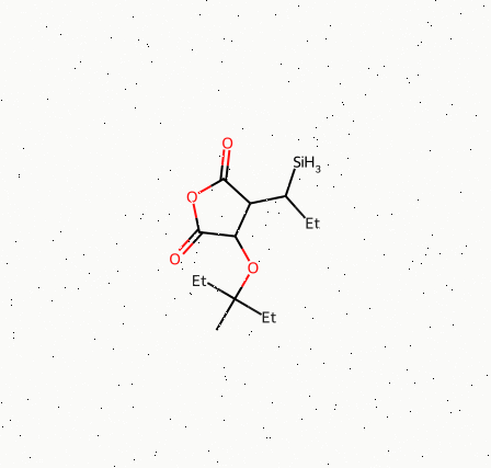 CCC([SiH3])C1C(=O)OC(=O)C1OC(C)(CC)CC